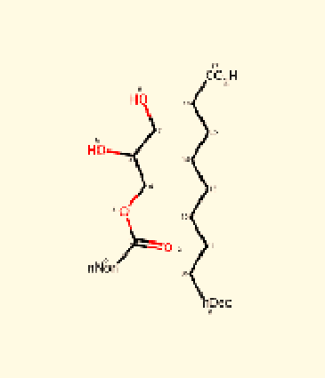 CCCCCCCCCC(=O)OCC(O)CO.CCCCCCCCCCCCCCCCCC(=O)O